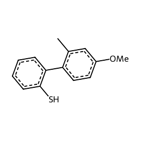 COc1ccc(-c2ccccc2S)c(C)c1